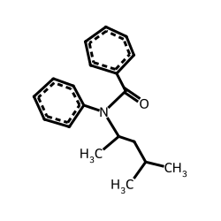 CC(C)CC(C)N(C(=O)c1ccccc1)c1ccccc1